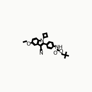 CCOc1ccc2c(c1)c(C#N)c(-c1ccc(NC(=O)OCC(C)(C)C)cc1)n2C1CCC1